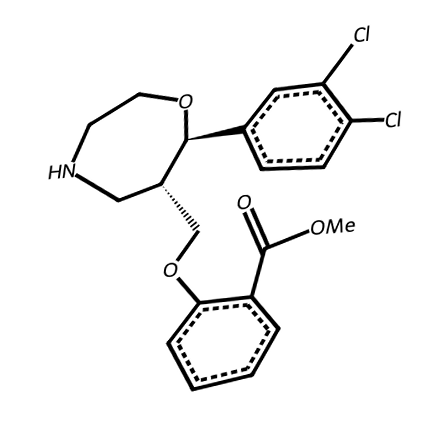 COC(=O)c1ccccc1OC[C@@H]1CNCCO[C@H]1c1ccc(Cl)c(Cl)c1